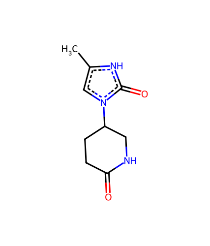 Cc1cn(C2CCC(=O)NC2)c(=O)[nH]1